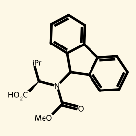 COC(=O)N(C1c2ccccc2-c2ccccc21)[C@@H](C(=O)O)C(C)C